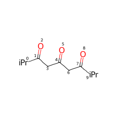 CC(C)C(=O)CC(=O)CC(=O)C(C)C